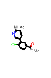 COC(=O)c1ccc(Cl)c(-c2ccc(NC(C)=O)nc2)c1